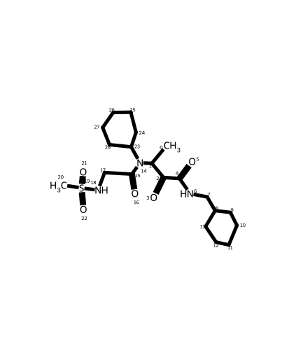 CC(C(=O)C(=O)NCC1CCCCC1)N(C(=O)CNS(C)(=O)=O)C1CCCCC1